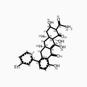 CCc1ccnc(-c2ccc(O)c3c2C[C@H]2C[C@H]4CC(O)C(C(N)=O)C(=O)[C@@]4(O)C(O)=C2C3=O)c1